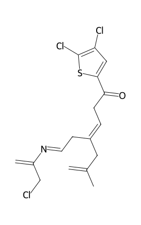 C=C(C)C/C(=C/CC(=O)c1cc(Cl)c(Cl)s1)C/C=N/C(=C)CCl